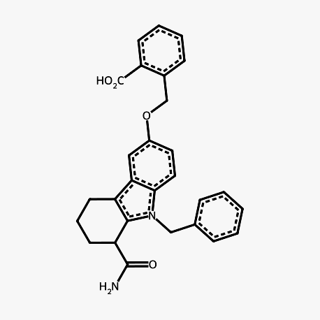 NC(=O)C1CCCc2c1n(Cc1ccccc1)c1ccc(OCc3ccccc3C(=O)O)cc21